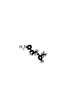 Nc1cccc(-c2cncc(C(=O)NCc3ccc(Br)cc3OC(F)(F)F)c2)c1